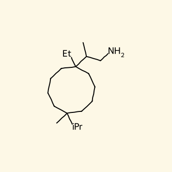 CCC1(C(C)CN)CCCCC(C)(C(C)C)CCCC1